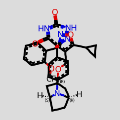 O=c1[nH]nc(-c2ccc(N3[C@@H]4CC[C@H]3C[C@@H](OCc3c(-c5ccccc5OC(F)(F)F)noc3C3CC3)C4)cc2)c(=O)[nH]1